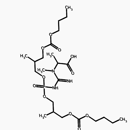 CCCCOC(=O)OCC(C)COP(=O)(NC(=N)N(C)C(C)C(=O)O)OCC(C)COC(=O)OCCCC